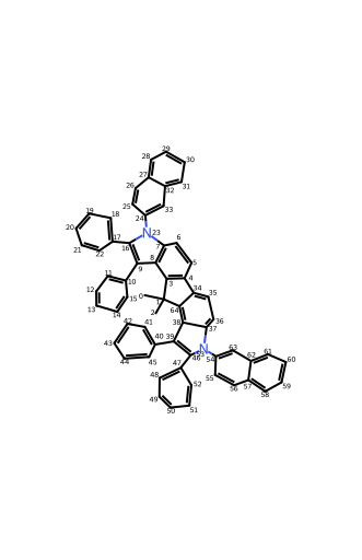 CC1(C)c2c(ccc3c2c(-c2ccccc2)c(-c2ccccc2)n3-c2ccc3ccccc3c2)-c2ccc3c(c(-c4ccccc4)c(-c4ccccc4)n3-c3ccc4ccccc4c3)c21